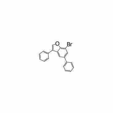 Brc1cc(-c2ccccc2)cc2c(-c3ccccc3)coc12